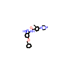 Cc1cc(N2CCN(C)CC2)ccc1C(=O)Nc1n[nH]c2ccc(OCc3ccccc3)cc12